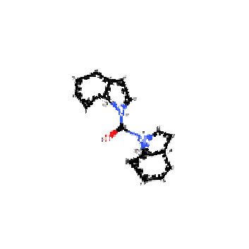 O=C(n1ccc2ccccc21)n1ccc2ccccc21